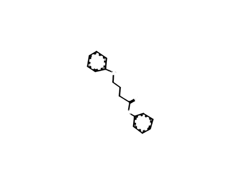 O=C(CCCNc1ccccc1)Oc1ccccc1